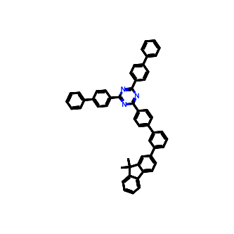 CC1(C)c2ccccc2-c2ccc(-c3cccc(-c4ccc(-c5nc(-c6ccc(-c7ccccc7)cc6)nc(-c6ccc(-c7ccccc7)cc6)n5)cc4)c3)cc21